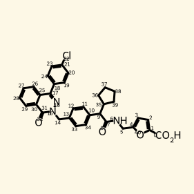 O=C(O)c1ccc(CNC(=O)C(c2ccc(Cn3nc(-c4ccc(Cl)cc4)c4ccccc4c3=O)cc2)C2CCCC2)o1